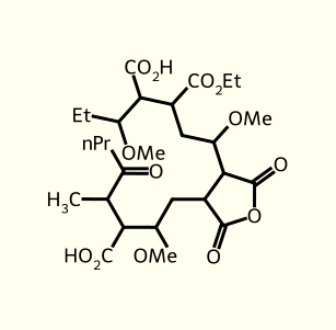 CCCC(=O)C(C)C(C(=O)O)C(CC1C(=O)OC(=O)C1C(CC(C(=O)OCC)C(C(=O)O)C(CC)OC)OC)OC